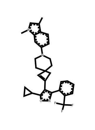 Cc1cn(C)c2cc(N3CCC4(C=C(c5c(-c6ccccc6C(F)(F)F)noc5C5CC5)C4)CC3)ccc12